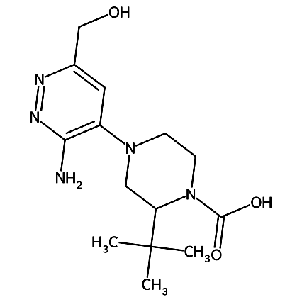 CC(C)(C)C1CN(c2cc(CO)nnc2N)CCN1C(=O)O